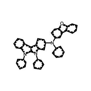 c1ccc(N(c2ccc3oc4ccccc4c3c2)c2ccc3c4c5ccccc5n(-c5ccccc5)c4n(-c4ccccc4)c3c2)cc1